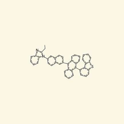 CCc1nc2ccccc2n1-c1ccc2cc(-c3c4ccccc4c(-c4cccc5sc6ccccc6c45)c4ccccc34)ccc2c1